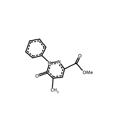 COC(=O)c1cc(C)c(=O)n(-c2ccccc2)n1